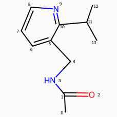 CC(=O)NCc1cccnc1C(C)C